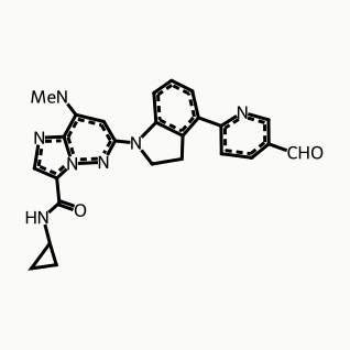 CNc1cc(N2CCc3c(-c4ccc(C=O)cn4)cccc32)nn2c(C(=O)NC3CC3)cnc12